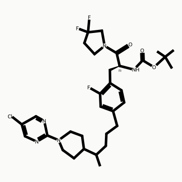 CC(CCCc1ccc(C[C@H](NC(=O)OC(C)(C)C)C(=O)N2CCC(F)(F)C2)c(F)c1)C1CCN(c2ncc(Cl)cn2)CC1